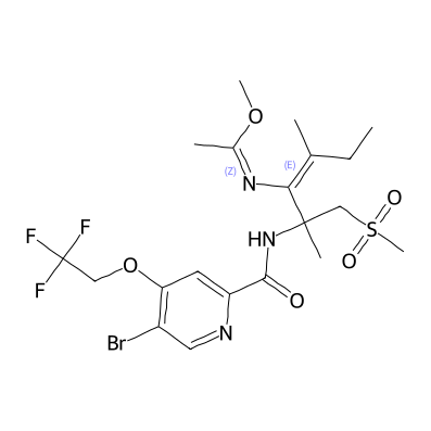 CC/C(C)=C(/N=C(/C)OC)C(C)(CS(C)(=O)=O)NC(=O)c1cc(OCC(F)(F)F)c(Br)cn1